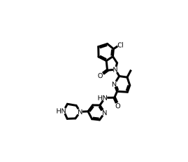 CC1C=CC(C(=O)Nc2cc(N3CCNCC3)ccn2)=NC1N1Cc2c(Cl)cccc2C1=O